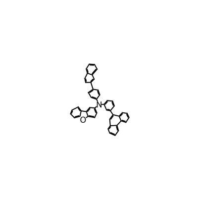 c1cc(-c2cc3ccccc3c3ccccc23)cc(N(c2ccc(-c3ccc4ccccc4c3)cc2)c2ccc3oc4ccccc4c3c2)c1